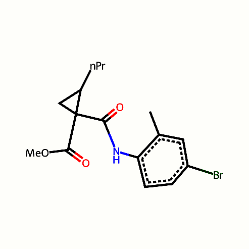 CCCC1CC1(C(=O)Nc1ccc(Br)cc1C)C(=O)OC